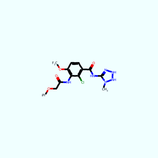 CC(C)OCC(=O)Nc1c(OC(F)(F)F)ccc(C(=O)NC2=NNNN2C)c1Cl